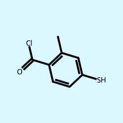 Cc1cc(S)ccc1C(=O)Cl